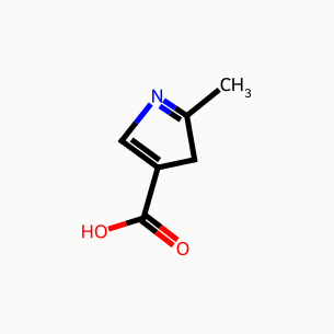 CC1=NC=C(C(=O)O)C1